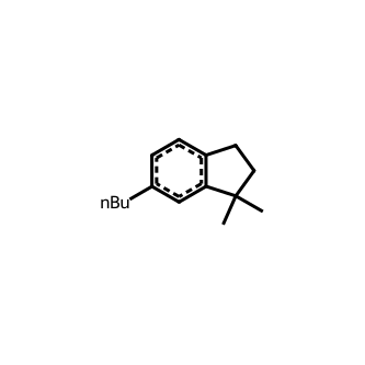 CCCCc1ccc2c(c1)C(C)(C)CC2